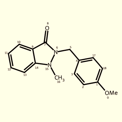 COc1ccc(Cn2c(=O)c3ccccc3n2C)cc1